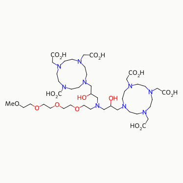 COCCOCCOCCOCCN(CC(O)CN1CCN(CC(=O)O)CCN(CC(=O)O)CCN(CC(=O)O)CC1)CC(O)CN1CCN(CC(=O)O)CCN(CC(=O)O)CCN(C(=O)O)CC1